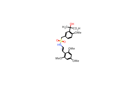 COc1cc(OC)c(/C=C/NS(=O)(=O)Cc2ccc(OC)c(C(C)(O)C(=O)O)c2)c(OC)c1